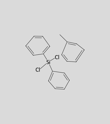 Cc1ccccc1.Cl[Si](Cl)(c1ccccc1)c1ccccc1